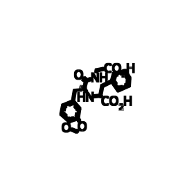 O=C(O)CNC(=O)[C@H](Cc1ccc2c(c1)OCO2)NC(Cc1ccccc1)C(=O)O